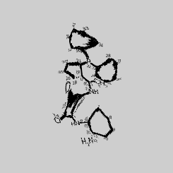 C[C@@H](Nc1c(N[C@H]2CCCC[C@@H]2N)c(=O)c1=O)[C@@H]1C=CC=C1P(c1ccccc1)c1ccccc1